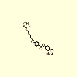 C=CCCCCCCCOc1ccc(C(=O)Oc2ccc(OCCCC)cc2)cc1